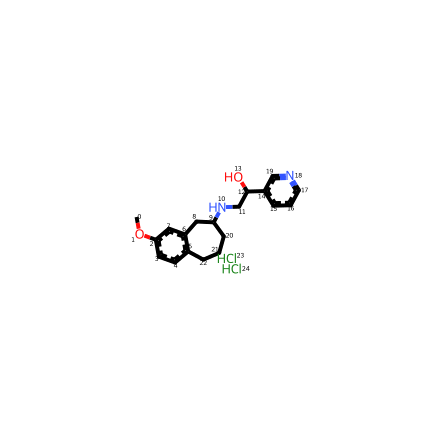 COc1ccc2c(c1)CC(NCC(O)c1cccnc1)CCC2.Cl.Cl